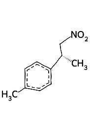 Cc1ccc([C@@H](C)C[N+](=O)[O-])cc1